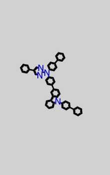 c1ccc(-c2ccc(N(c3ccc(-c4ccc5c(c4)c4ccccc4n5-c4ccc(-c5ccccc5)cc4)cc3)c3ncc(-c4ccccc4)cn3)cc2)cc1